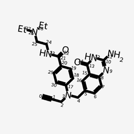 C#CCN(Cc1ccc2nc(N)[nH]c(=O)c2c1)c1ccc(C(=O)NCCN(CC)CC)cc1